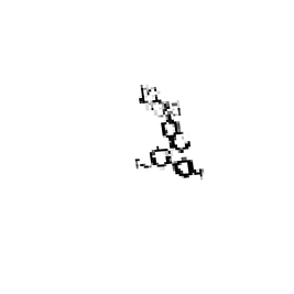 O=S(=O)(Nc1ncns1)c1ccc2c(c1)OCC[C@H]2N1CC[C@H](CF)C[C@@H]1c1ccc(F)cc1